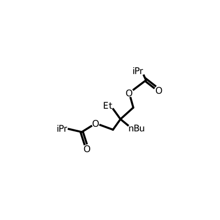 CCCCC(CC)(COC(=O)C(C)C)COC(=O)C(C)C